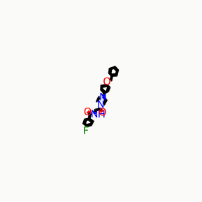 O=C(NCC(=O)N1CCN(c2ccc(OCc3ccccc3)cc2)CC1)c1ccc(F)cc1